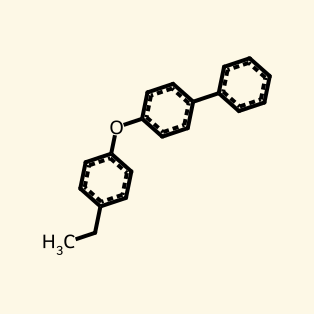 CCc1ccc(Oc2ccc(-c3ccccc3)cc2)cc1